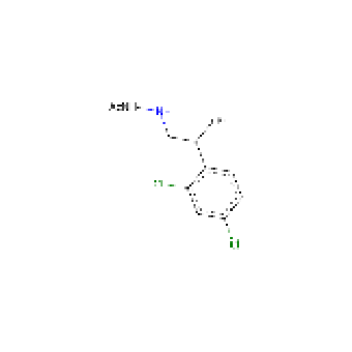 CCCC(CNNC(C)=O)c1ccc(Cl)cc1Cl